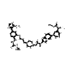 Cc1ncsc1-c1ccc(CNC(=O)OC(C)(C)C)c(OCCCN2CCN(CC(=O)Nc3cn4cc(-c5cncc(N(C)C(=O)OC(C)C)c5)ccc4n3)CC2)c1